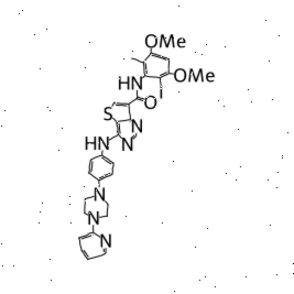 COc1cc(OC)c(I)c(NC(=O)c2csc3c(Nc4ccc(N5CCN(c6ccccn6)CC5)cc4)ncnc23)c1C